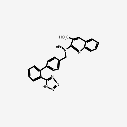 CCCN(Cc1ccc(-c2ccccc2-c2nnn[nH]2)cc1)c1nc2ccccc2cc1C(=O)O